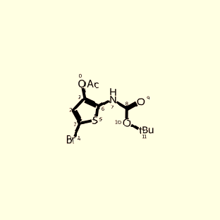 CC(=O)Oc1cc(Br)sc1NC(=O)OC(C)(C)C